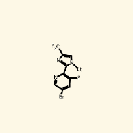 CCn1cc(C(F)(F)F)nc1-c1ncc(Br)cc1F